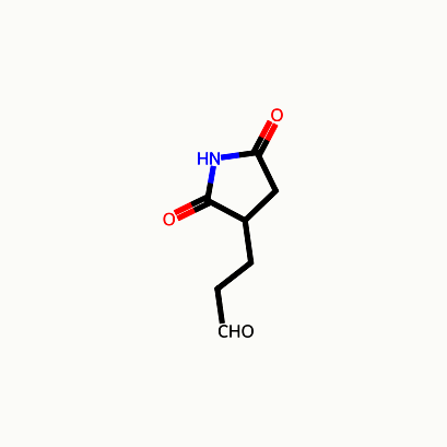 O=CCCC1CC(=O)NC1=O